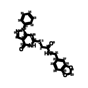 O=C(CSc1nc2c(cnn2-c2ccccc2)c(=O)[nH]1)NCc1ccc2c(c1)OCO2